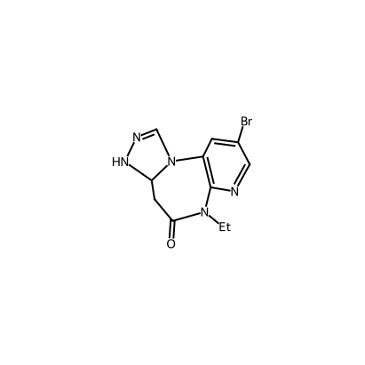 CCN1C(=O)CC2NN=CN2c2cc(Br)cnc21